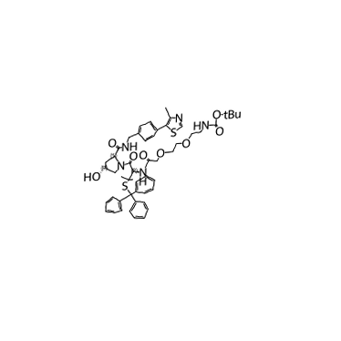 Cc1ncsc1-c1ccc(CNC(=O)[C@@H]2C[C@@H](O)CN2C(=O)[C@@H](NC(=O)COCCOCCNC(=O)OC(C)(C)C)C(C)(C)SC(c2ccccc2)(c2ccccc2)c2ccccc2)cc1